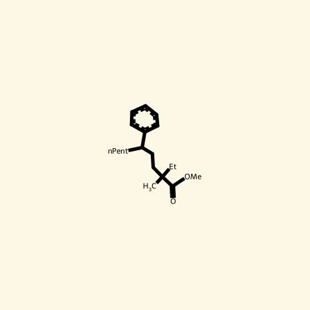 CCCCCC(CCC(C)(CC)C(=O)OC)c1ccccc1